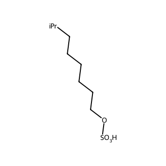 CC(C)CCCCCCOS(=O)(=O)O